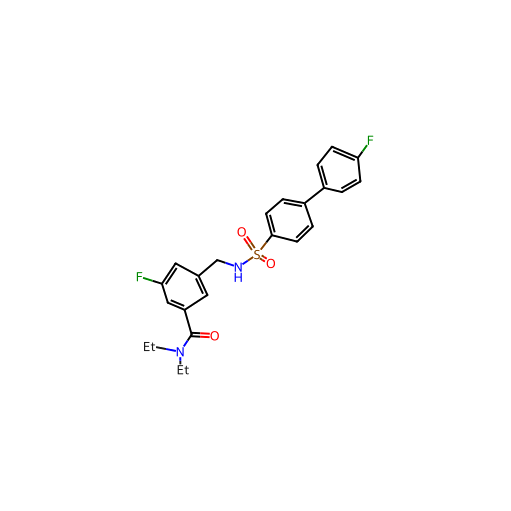 CCN(CC)C(=O)c1cc(F)cc(CNS(=O)(=O)c2ccc(-c3ccc(F)cc3)cc2)c1